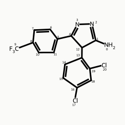 NC1=NN=C(c2ccc(C(F)(F)F)cc2)C1c1ccc(Cl)cc1Cl